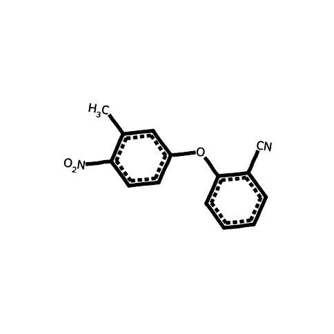 Cc1cc(Oc2ccccc2C#N)ccc1[N+](=O)[O-]